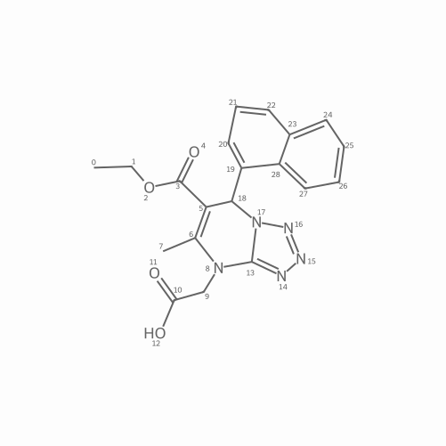 CCOC(=O)C1=C(C)N(CC(=O)O)c2nnnn2C1c1cccc2ccccc12